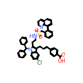 O=C(O)c1ccc(CCCc2c(CCNS(=O)(=O)Cc3ccccc3-c3cccc4cccnc34)n(C(c3ccccc3)c3ccccc3)c3ccc(Cl)cc23)cc1